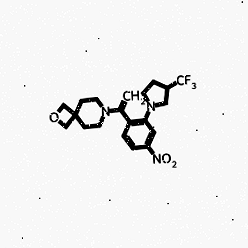 C=C(c1ccc([N+](=O)[O-])cc1N1CCC(C(F)(F)F)C1)N1CCC2(CC1)COC2